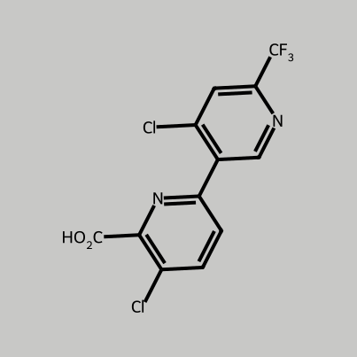 O=C(O)c1nc(-c2cnc(C(F)(F)F)cc2Cl)ccc1Cl